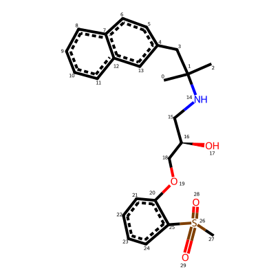 CC(C)(Cc1ccc2ccccc2c1)NC[C@@H](O)COc1ccccc1S(C)(=O)=O